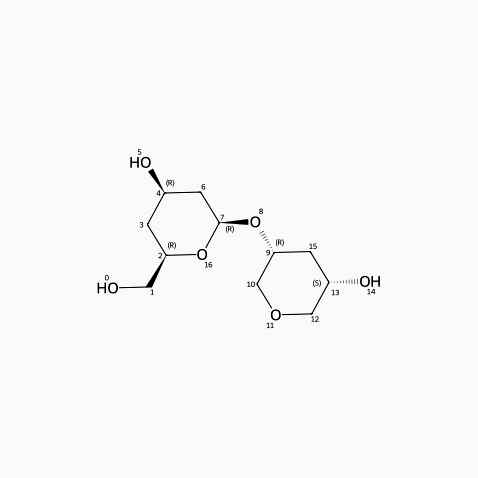 OC[C@H]1C[C@@H](O)C[C@@H](O[C@H]2COC[C@@H](O)C2)O1